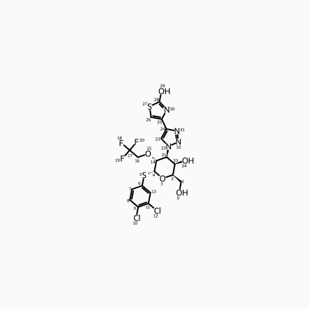 OC[C@H]1O[C@H](Sc2ccc(Cl)c(Cl)c2)[C@H](OCC(F)(F)F)[C@@H](n2cc(-c3csc(O)n3)nn2)[C@H]1O